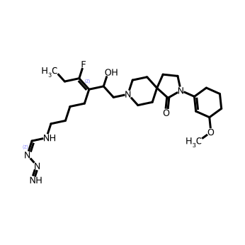 CC/C(F)=C(\CCCCN/C=N\N=N)C(O)CN1CCC2(CC1)CCN(C1=CC(OC)CCC1)C2=O